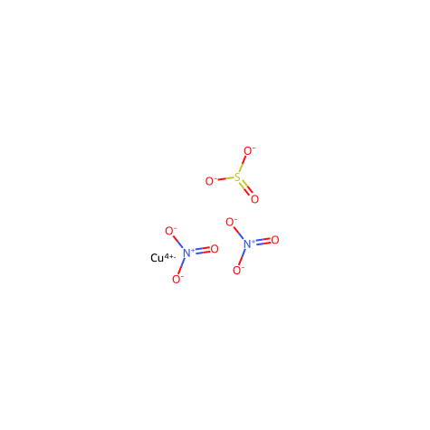 O=S([O-])[O-].O=[N+]([O-])[O-].O=[N+]([O-])[O-].[Cu+4]